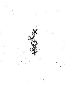 CC(C)(C)OCC(=O)N1CCN(OC(=O)C(C)(C)C)CC1